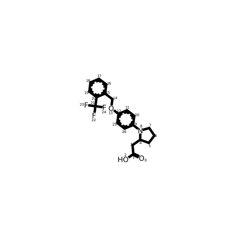 O=C(O)CC1CCCN1c1ccc(OCc2ccccc2C(F)(F)F)cc1